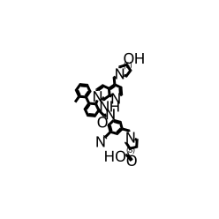 Cc1ccccc1C1=CC=CC(Nc2nccc3c(CN4CC[C@H](O)C4)ccnc23)(c2nc3cc(CN4CC[C@H](C(=O)O)C4)cc(C#N)c3o2)C1C